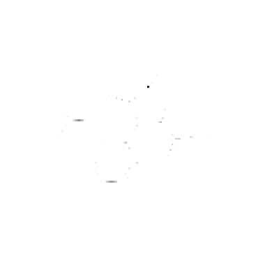 COC(=O)C1OC(C)(C(F)(F)F)C(C)C1c1ccc(F)cc1OC(F)F